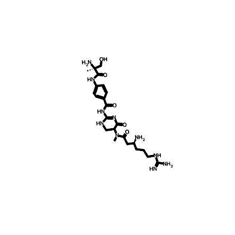 CN(C(=O)C[C@@H](N)CCCNC(=N)N)C1CNC(NC(=O)c2ccc(NC(=O)[C@@](C)(N)CO)cc2)=NC1=O